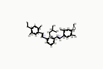 CCc1cc(C)c(/C=C/c2cccc(/C=C/c3cc(C)c(OC)cc3C)[n+]2CC(C)C)cc1C